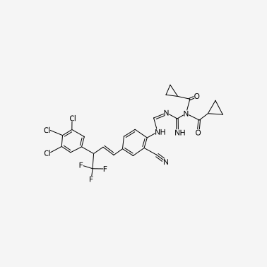 N#Cc1cc(/C=C/C(c2cc(Cl)c(Cl)c(Cl)c2)C(F)(F)F)ccc1N/C=N\C(=N)N(C(=O)C1CC1)C(=O)C1CC1